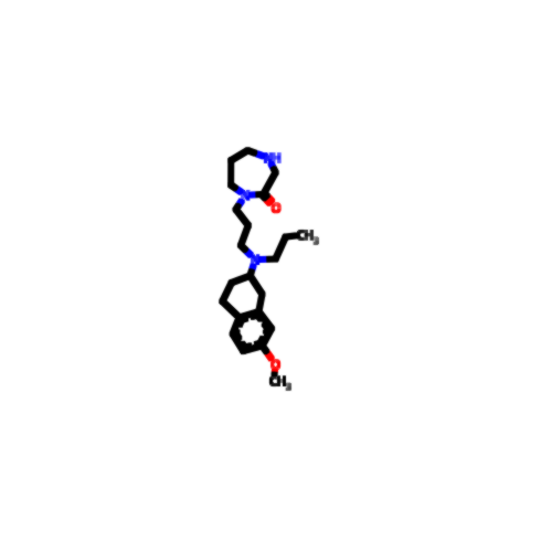 CCCN(CCCN1CCCNCC1=O)C1CCc2ccc(OC)cc2C1